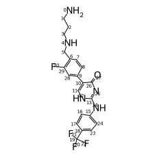 NCCCNCc1ccc(-c2c[nH]c(Nc3ccc(C(F)(F)F)cc3)nc2=O)cc1F